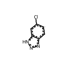 Clc1[c]cc2nn[nH]c2c1